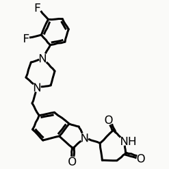 O=C1CCC(N2Cc3cc(CN4CCN(c5cccc(F)c5F)CC4)ccc3C2=O)C(=O)N1